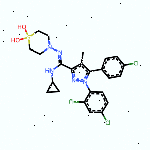 Cc1c(C(=NN2CCS(O)(O)CC2)NC2CC2)nn(-c2ccc(Cl)cc2Cl)c1-c1ccc(Cl)cc1